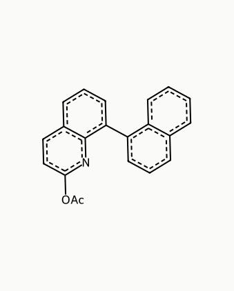 CC(=O)Oc1ccc2cccc(-c3cccc4ccccc34)c2n1